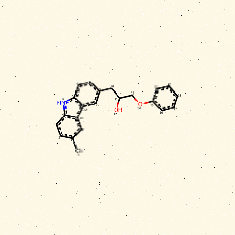 N#Cc1ccc2[nH]c3ccc(CC(O)COc4ccccc4)cc3c2c1